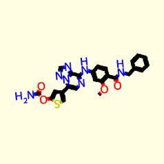 COc1cc(Nc2ncc(-c3csc(OC(N)=O)c3)n3ncnc23)ccc1C(=O)NCc1ccccc1